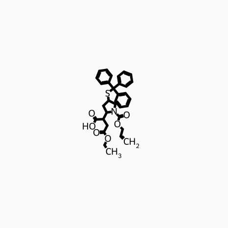 C=CCOC(=O)N1CC(SC(c2ccccc2)(c2ccccc2)c2ccccc2)CC1C(CC(=O)OCC)C(=O)O